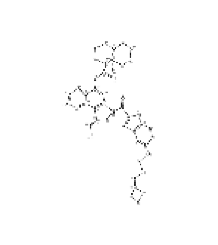 O=C(c1cc2cc(OCCCN3CCC3)ccc2[nH]1)N1C[C@@H](CCl)c2c1cc(OC(=O)N1CCCC3CSSC[C@H]31)c1ccccc21